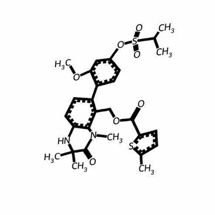 COc1cc(OS(=O)(=O)C(C)C)ccc1-c1ccc2c(c1COC(=O)c1ccc(C)s1)N(C)C(=O)C(C)(C)N2